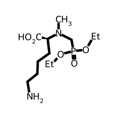 CCOP(=O)(CN(C)[C@@H](CCCCN)C(=O)O)OCC